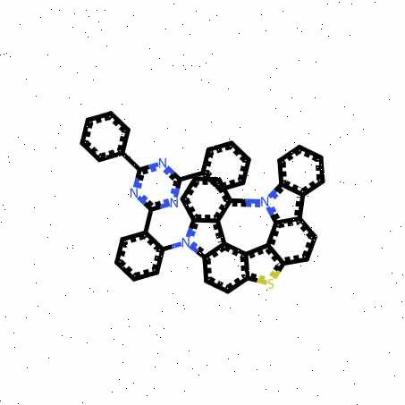 c1ccc(-c2nc(-c3ccccc3)nc(-c3ccccc3-n3c4ccc5sc6ccc7c8ccccc8n8c9cccc3c9c4c5c6c78)n2)cc1